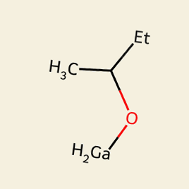 CCC(C)[O][GaH2]